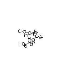 O=C(O)CCNC(=O)c1ccc(-c2cc(C(F)(F)F)cc(C(F)(F)F)c2CNc2ccc(-c3ccc(Cl)cc3)c(Cl)c2)cn1